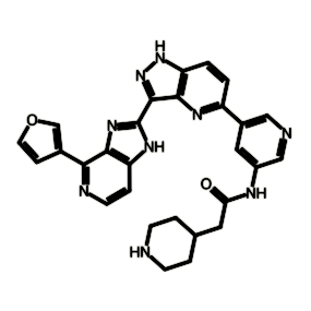 O=C(CC1CCNCC1)Nc1cncc(-c2ccc3[nH]nc(-c4nc5c(-c6ccoc6)nccc5[nH]4)c3n2)c1